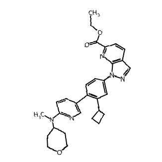 CCOC(=O)c1ccc2cnn(-c3ccc(-c4ccc(N(C)C5CCOCC5)nc4)c(C4CCC4)c3)c2n1